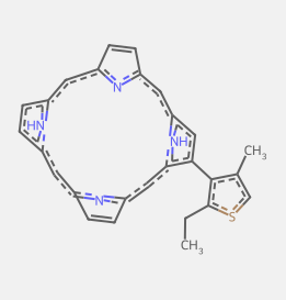 CCc1scc(C)c1-c1cc2cc3nc(cc4ccc(cc5nc(cc1[nH]2)C=C5)[nH]4)C=C3